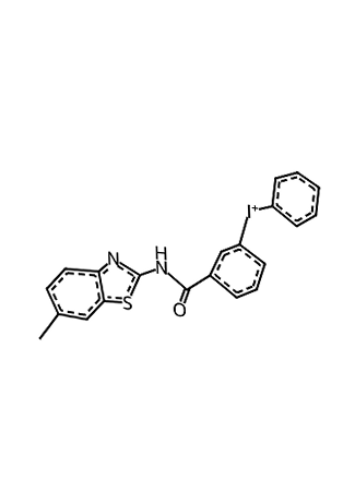 Cc1ccc2nc(NC(=O)c3cccc([I+]c4ccccc4)c3)sc2c1